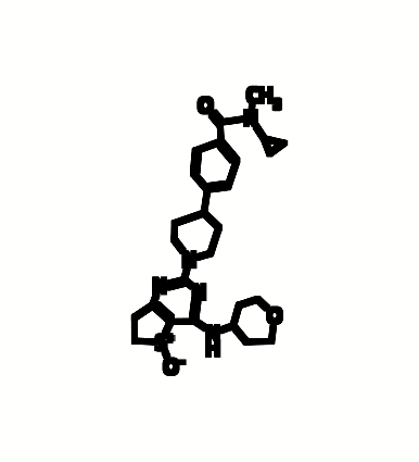 CN(C(=O)c1ccc(C2CCN(c3nc4c(c(NC5CCOCC5)n3)[S+]([O-])CC4)CC2)cc1)C1CC1